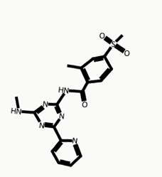 CNc1nc(NC(=O)c2ccc(S(C)(=O)=O)cc2C)nc(-c2ccccn2)n1